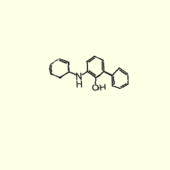 Oc1c(NC2C=CC=CC2)cccc1-c1ccccc1